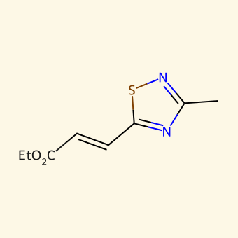 CCOC(=O)C=Cc1nc(C)ns1